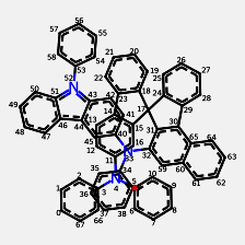 c1ccc(N(c2ccccc2)c2ccc3c(c2)C2(c4ccccc4-3)c3ccccc3-c3c2c(N(c2ccccc2)c2ccc4c(c2)c2ccccc2n4-c2ccccc2)cc2ccccc32)cc1